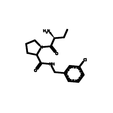 CC[C@@H](N)C(=O)N1CCCC1C(=O)NCc1cccc(Cl)c1